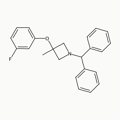 CC1(Oc2cccc(F)c2)CN(C(c2ccccc2)c2ccccc2)C1